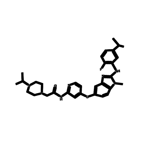 CC(C)c1ccc(F)c(Nc2nc3cc(Oc4ccnc(NC(=O)CN5CCN(C(C)C)CC5)c4)ccc3n2C)c1